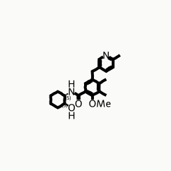 COc1c(C(=O)N[C@H]2CCCC[C@@H]2O)cc(Cc2ccc(C)nc2)c(C)c1C